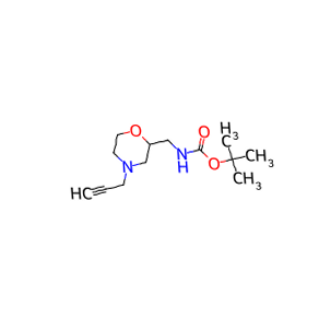 C#CCN1CCOC(CNC(=O)OC(C)(C)C)C1